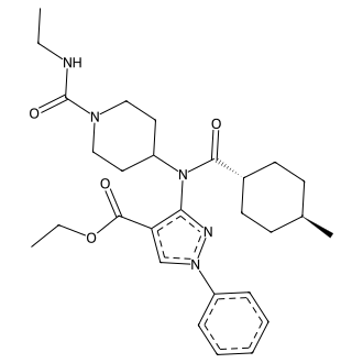 CCNC(=O)N1CCC(N(c2nn(-c3ccccc3)cc2C(=O)OCC)C(=O)[C@H]2CC[C@H](C)CC2)CC1